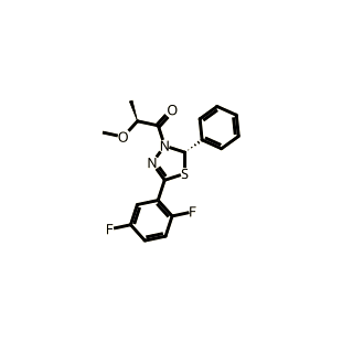 CO[C@@H](C)C(=O)N1N=C(c2cc(F)ccc2F)S[C@H]1c1ccccc1